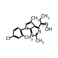 CC/C(=N/O)c1nc(C)nc2c1c(C)cn2-c1ccc(Cl)cc1C